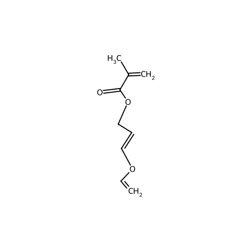 C=COC=CCOC(=O)C(=C)C